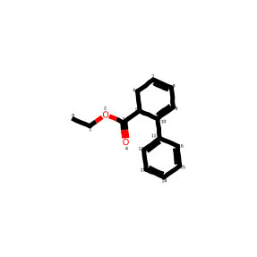 CCOC(=O)C1CC=CC=C1c1ccccc1